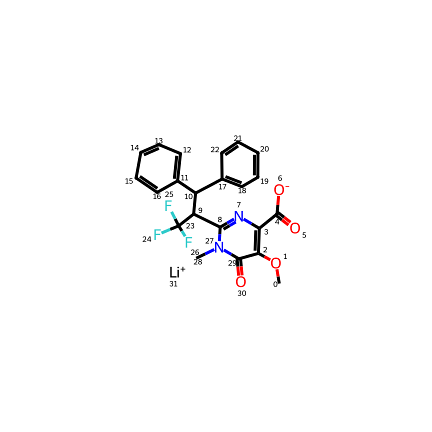 COc1c(C(=O)[O-])nc(C(C(c2ccccc2)c2ccccc2)C(F)(F)F)n(C)c1=O.[Li+]